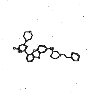 O=c1cc(N2CCOCC2)cc(-c2cccc3c2Oc2ccc(NC4CCCN(CCc5ccccc5)C4)cc2S3)[nH]1